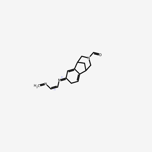 C=N/C=C\N=C1\C=C2C(=CC1)C1CC2CN(C=O)C1